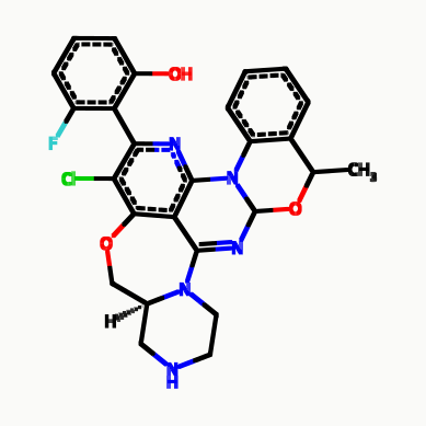 CC1OC2N=C3c4c(nc(-c5c(O)cccc5F)c(Cl)c4OC[C@@H]4CNCCN34)N2c2ccccc21